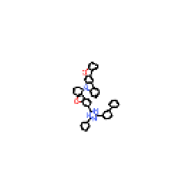 C1=Cc2oc3cc(-c4nc(-c5ccccc5)nc(-c5cccc(-c6ccccc6)c5)n4)ccc3c2C(n2c3ccccc3c3cc4c(cc32)oc2ccccc24)C1